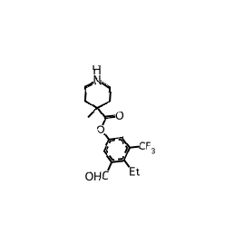 CCc1c(C=O)cc(OC(=O)C2(C)CCNCC2)cc1C(F)(F)F